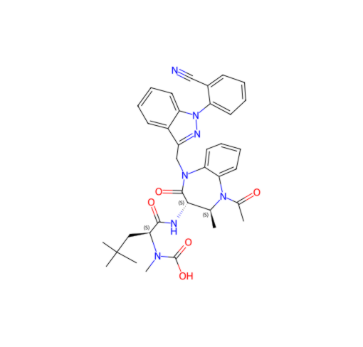 CC(=O)N1c2ccccc2N(Cc2nn(-c3ccccc3C#N)c3ccccc23)C(=O)[C@@H](NC(=O)[C@H](CC(C)(C)C)N(C)C(=O)O)[C@@H]1C